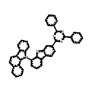 c1ccc(-c2nc(-c3ccccc3)nc(-c3ccc4c(c3)oc3c(-n5c6ccccc6c6ccc7ccccc7c65)cccc34)n2)cc1